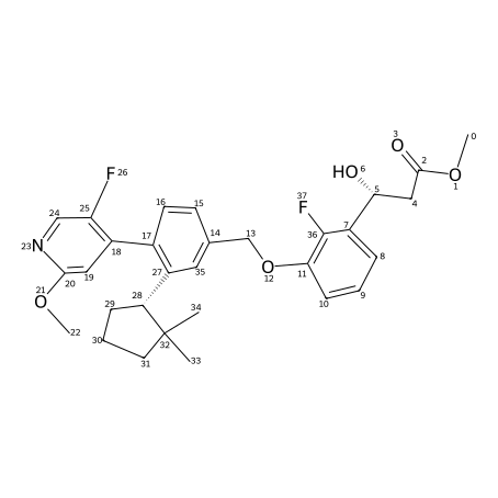 COC(=O)C[C@@H](O)c1cccc(OCc2ccc(-c3cc(OC)ncc3F)c([C@H]3CCCC3(C)C)c2)c1F